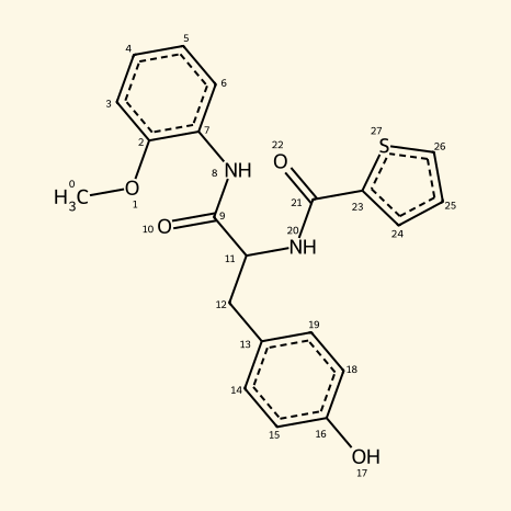 COc1ccccc1NC(=O)C(Cc1ccc(O)cc1)NC(=O)c1cccs1